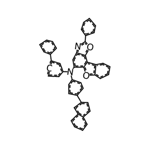 c1ccc(-c2cccc(N(c3ccc(-c4ccc5ccccc5c4)cc3)c3cc4nc(-c5ccccc5)oc4c4c3oc3ccccc34)c2)cc1